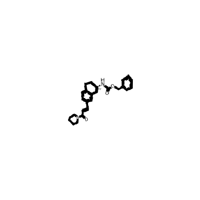 O=C(N[C@H]1CCc2ccc(C=CC(=O)N3CCCCC3)cc2C1)OCc1ccccc1